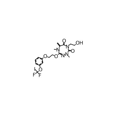 C=C1C(=O)N(CCO)C(=O)N(C)/N=C(/OCCOc2cccc(OC(F)(F)I)c2)N1C